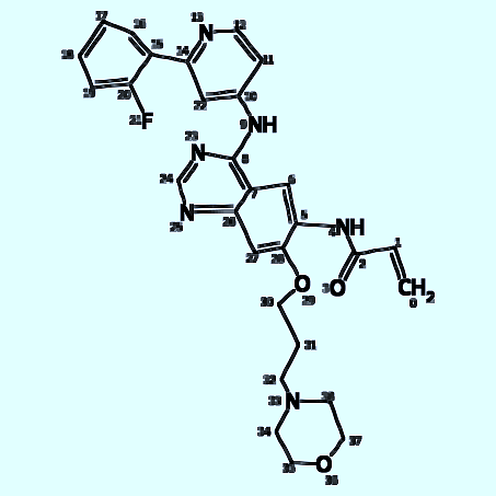 C=CC(=O)Nc1cc2c(Nc3ccnc(-c4ccccc4F)c3)ncnc2cc1OCCCN1CCOCC1